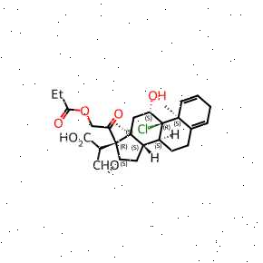 CCC(=O)OCC(=O)[C@@]1(C(C=O)C(=O)O)[C@@H](C)C[C@H]2[C@@H]3CCC4=CCC=C[C@]4(C)[C@@]3(Cl)[C@@H](O)C[C@@]21C